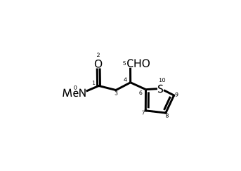 CNC(=O)CC(C=O)c1cccs1